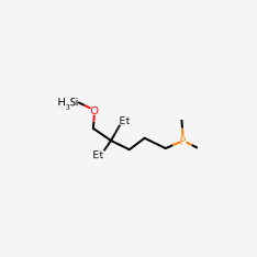 CCC(CC)(CCCP(C)C)CO[SiH3]